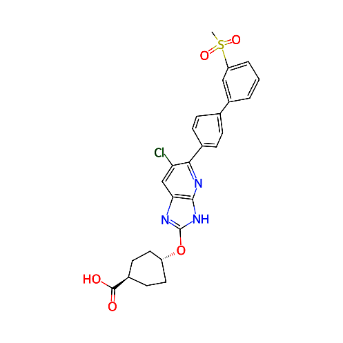 CS(=O)(=O)c1cccc(-c2ccc(-c3nc4[nH]c(O[C@H]5CC[C@H](C(=O)O)CC5)nc4cc3Cl)cc2)c1